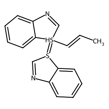 CC=C[SH]1(=S2C=Nc3ccccc32)C=Nc2ccccc21